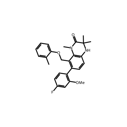 COc1cc(F)ccc1-c1ccc2c(c1COc1ccccc1C)N(C)C(=O)C(C)(C)N2